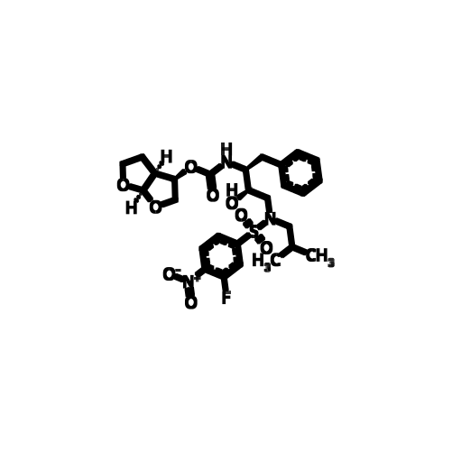 CC(C)CN(C[C@@H](O)[C@H](Cc1ccccc1)NC(=O)O[C@H]1CO[C@H]2OCC[C@H]21)S(=O)(=O)c1ccc([N+](=O)[O-])c(F)c1